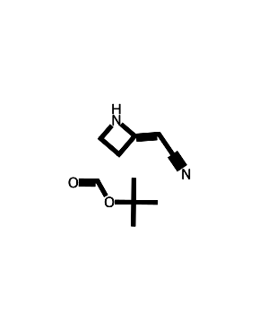 CC(C)(C)OC=O.N#CC=C1CCN1